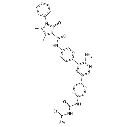 CCCC(CC)NC(=O)Nc1ccc(-c2cnc(N)c(-c3ccc(NC(=O)c4c(C)n(C)n(-c5ccccc5)c4=O)cc3)n2)cc1